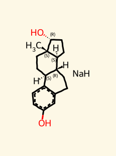 C[C@]12CC[C@@H]3c4ccc(O)cc4CC[C@H]3[C@@H]1CC[C@H]2O.[NaH]